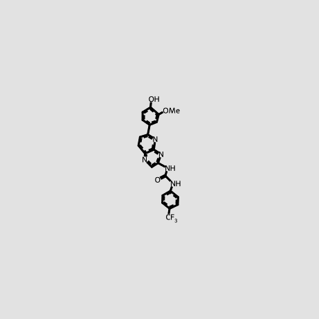 COc1cc(-c2ccc3ncc(NC(=O)Nc4ccc(C(F)(F)F)cc4)nc3n2)ccc1O